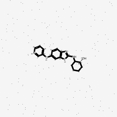 O[C@@H]1CCCCC1Nc1nc2ccc(Oc3cccnc3)cc2s1